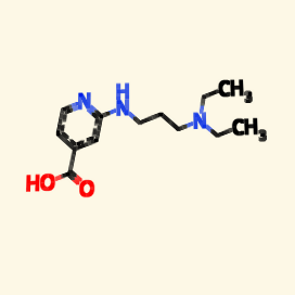 CCN(CC)CCCNc1cc(C(=O)O)ccn1